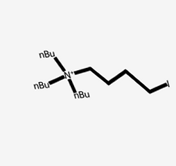 CCCC[N+](CCCC)(CCCC)CCCCI